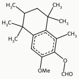 COc1cc2c(c(C)c1OC=O)C(C)(C)CC(C)C2(C)C